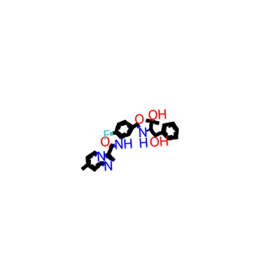 Cc1ccn2c(C(=O)Nc3cc(C(=O)N[C@H]([C@@H](O)c4ccccc4)C(C)(C)O)ccc3F)cnc2c1